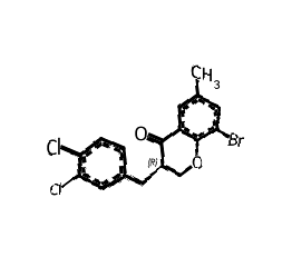 Cc1cc(Br)c2c(c1)C(=O)[C@H](Cc1ccc(Cl)c(Cl)c1)CO2